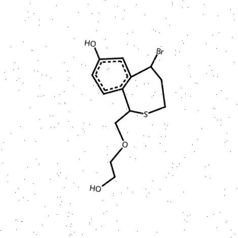 OCCOCC1SCCC(Br)c2cc(O)ccc21